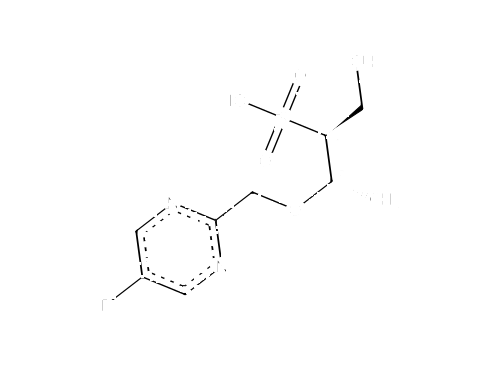 CC[C@@H]([C@H](C)OCc1ncc(F)cn1)S(=O)(=O)O